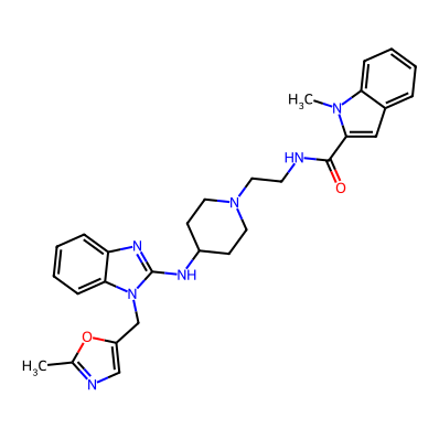 Cc1ncc(Cn2c(NC3CCN(CCNC(=O)c4cc5ccccc5n4C)CC3)nc3ccccc32)o1